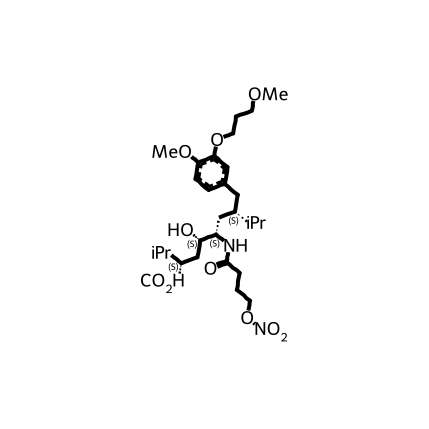 COCCCOc1cc(C[C@@H](C[C@H](NC(=O)CCCO[N+](=O)[O-])[C@@H](O)C[C@H](C(=O)O)C(C)C)C(C)C)ccc1OC